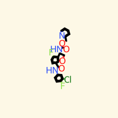 O=C(NC1COc2c(C(=O)Nc3ccc(F)c(Cl)c3)ccc(F)c21)OCc1ccccn1